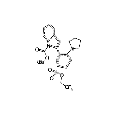 CC(C)(C)OC(=O)n1c(-c2cc(S(=O)(=O)OCC(F)(F)F)ccc2N2CCCC2)cc2ccccc21